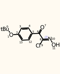 CC(C)(C)Oc1ccc(C(=O)/C(Cl)=N/O)cc1